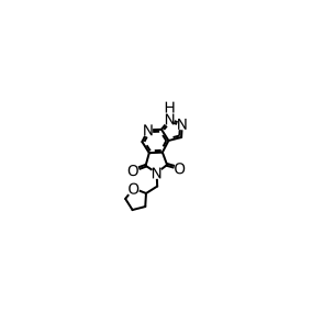 O=C1c2cnc3[nH]ncc3c2C(=O)N1CC1CCCO1